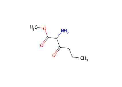 CCCC(=O)C(N)C(=O)OC